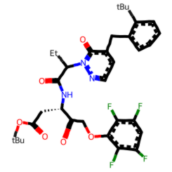 CCC(C(=O)N[C@@H](CC(=O)OC(C)(C)C)C(=O)COc1c(F)c(F)cc(F)c1F)n1nccc(Cc2ccccc2C(C)(C)C)c1=O